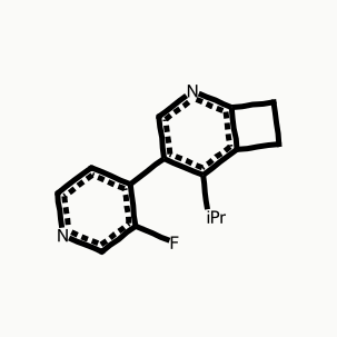 CC(C)c1c(-c2ccncc2F)cnc2c1CC2